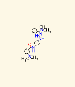 CN(C)c1cccc(C(=O)N[C@H]2CC[C@@H](Nc3nc(N(C)C)c4ccccc4n3)CC2)c1